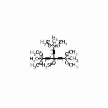 CO[Si](C)(C#CC(C#C[Si](C)(OC)OC)(C#C[Si](C)(OC)OC)O[SiH3])OC